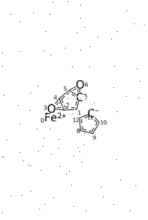 [Fe+2].c1c2oc2c2o[c-]12.c1cc[cH-]c1